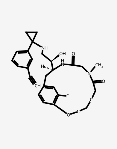 C#Cc1cccc(C2(NC[C@@H](O)[C@@H]3Cc4ccc(c(F)c4)OCCCCC(=O)N(C)CC(=O)N3)CC2)c1